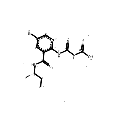 CC[C@H](C)NC(=O)c1cc(Br)cnc1NC(=S)NC(=O)O